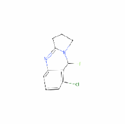 FC1c2c(Cl)cccc2N=C2CCCN21